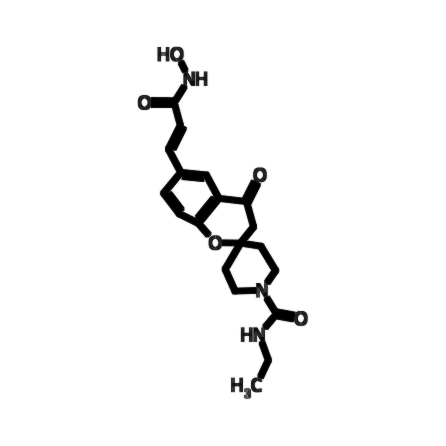 CCNC(=O)N1CCC2(CC1)CC(=O)c1cc(C=CC(=O)NO)ccc1O2